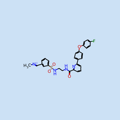 C/N=C/c1cccc(S(=O)(=O)NCCNC(=O)c2cccc(-c3ccc(Oc4ccc(F)cc4)cc3)n2)c1